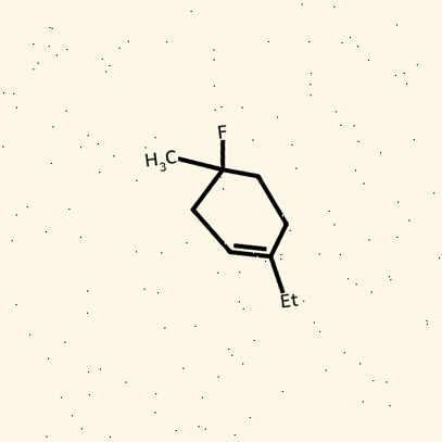 CCC1=CCC(C)(F)CC1